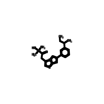 CCC(C)c1cccc(-c2cc3scc(CC(=O)[N+](C)(C)O)n3c2)c1